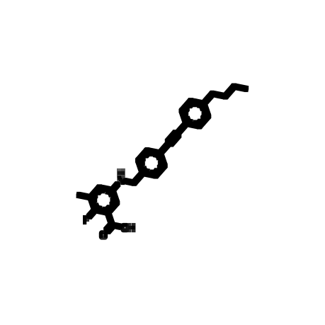 CCCCc1ccc(C#Cc2ccc(CNc3cc(C)c(F)c(C(=O)O)c3)cc2)cc1